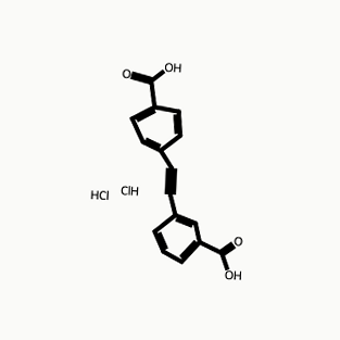 Cl.Cl.O=C(O)c1ccc(C#Cc2cccc(C(=O)O)c2)cc1